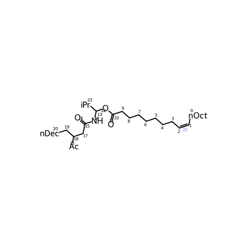 CCCCCCCC/C=C\CCCCCCCC(=O)OC(NC(=O)CC(CCCCCCCCCCC)C(C)=O)C(C)C